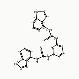 O=C(Nc1cccc(NC(=O)Nc2cccc3[nH]ccc23)c1)Nc1cccc2[nH]ccc12